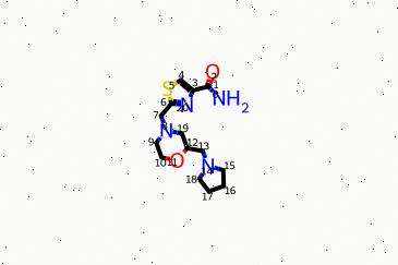 NC(=O)c1csc(CN2CCOC(CN3CCCC3)C2)n1